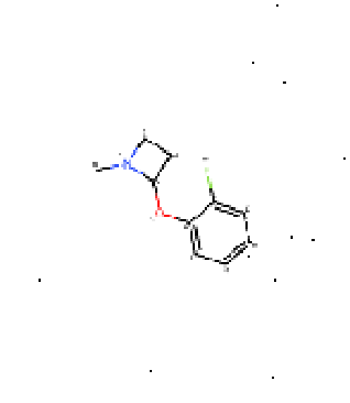 CN1CCC1Oc1ccccc1F